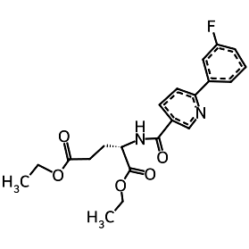 CCOC(=O)CC[C@H](NC(=O)c1ccc(-c2cccc(F)c2)nc1)C(=O)OCC